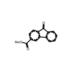 COC(=O)c1ccc2c(c1)-c1ccccc1C2=O